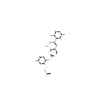 C=C(C=O)CNc1cc(F)c(F)cc1Nc1ncc2c(n1)N(C)C(O)C(c1c(Cl)c(OC)cc(OC)c1Cl)=C2